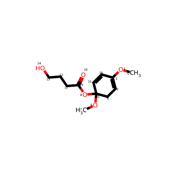 COC1=CCC(OC)(OC(=O)CCCO)C=C1